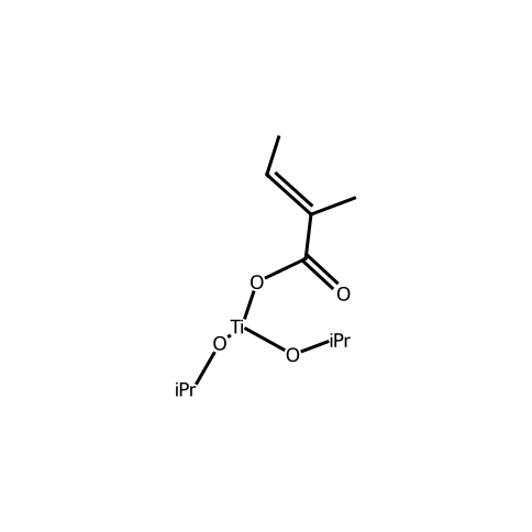 CC=C(C)C(=O)[O][Ti]([O]C(C)C)[O]C(C)C